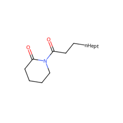 CCCCCCCCCC(=O)N1CCCCC1=O